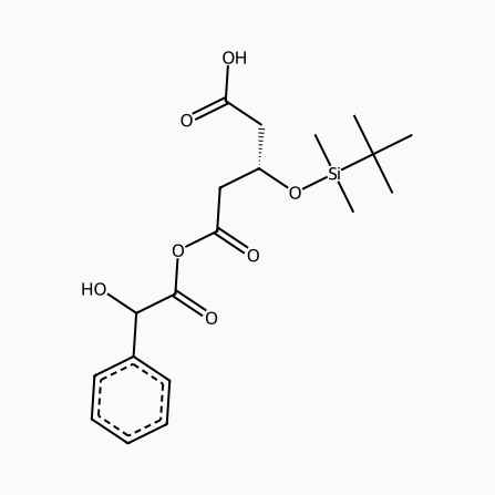 CC(C)(C)[Si](C)(C)O[C@@H](CC(=O)O)CC(=O)OC(=O)C(O)c1ccccc1